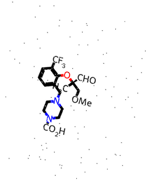 COC[C@@](C)(C=O)Oc1c(CN2CCN(C(=O)O)CC2)cccc1C(F)(F)F